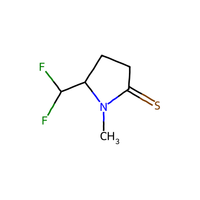 CN1C(=S)CCC1C(F)F